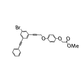 COC(=O)COc1ccc(OCC#Cc2cc(Br)cc(C#Cc3ccccc3)c2)cc1